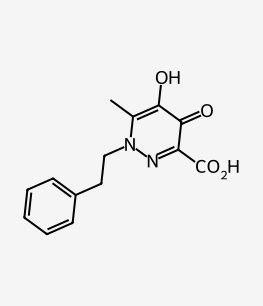 Cc1c(O)c(=O)c(C(=O)O)nn1CCc1ccccc1